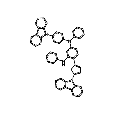 C1=C(c2ccc(N(c3ccccc3)c3ccc(-n4c5ccccc5c5ccccc54)cc3)cc2Nc2ccccc2)CC(n2c3ccccc3c3ccccc32)=C1